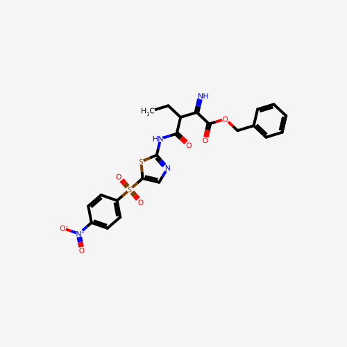 CCC(C(=N)C(=O)OCc1ccccc1)C(=O)Nc1ncc(S(=O)(=O)c2ccc([N+](=O)[O-])cc2)s1